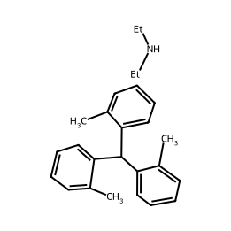 CCNCC.Cc1ccccc1C(c1ccccc1C)c1ccccc1C